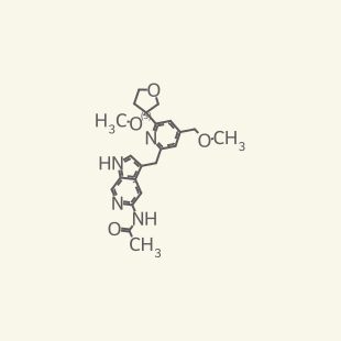 COCc1cc(Cc2c[nH]c3cnc(NC(C)=O)cc23)nc([C@@]2(OC)CCOC2)c1